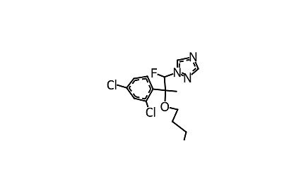 CCCCOC(C)(c1ccc(Cl)cc1Cl)C(F)n1cncn1